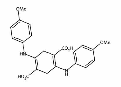 COc1ccc(NC2=C(C(=O)O)CC(Nc3ccc(OC)cc3)=C(C(=O)O)C2)cc1